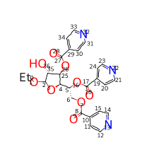 CCOC1O[C@H]([C@@H](COC(=O)c2ccncc2)OC(=O)c2ccncc2)[C@H](OC(=O)c2ccncc2)[C@H]1O